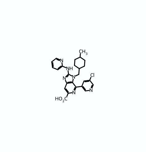 CC1CCC(Cn2c(Nc3ccccn3)nc3cc(C(=O)O)nc(-c4cncc(Cl)c4)c32)CC1